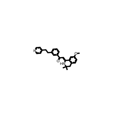 COc1ccc2c(c1)C(=CC(=O)c1cccc(CCc3ccncc3)c1)NC(C)(C)C2